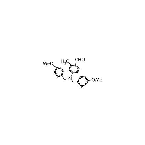 COc1ccc(CN(Cc2ccc(OC)cc2)c2ccc(C=O)c(C)c2)cc1